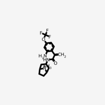 C=C(C(=O)NC1CC2CCC(C1)N2C)c1ccc(OC(F)(F)F)cc1N